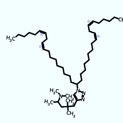 CCCCC/C=C\C/C=C\CCCCCCCCC(CCCCCCCC/C=C\C/C=C\CCCCC)n1cc(CC(C)(C)CC(C)N(C)C)nn1